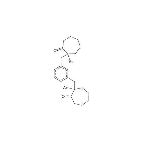 CC(=O)C1(Cc2cccc(CC3(C(C)=O)CCCCCC3=O)c2)CCCCCC1=O